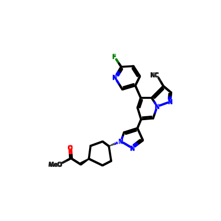 COC(=O)C[C@H]1CC[C@H](n2cc(-c3cc(-c4ccc(F)nc4)c4c(C#N)cnn4c3)cn2)CC1